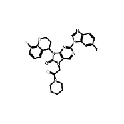 O=C(Cn1c(=O)n(C2CCOc3c(F)cccc32)c2nc(-n3cnc4ccc(F)cc43)ncc21)N1CCCCC1